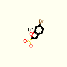 O=S([O-])c1cc2ccc(Br)cc2o1.[Li+]